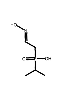 CC(C)P(=O)(O)CC=NO